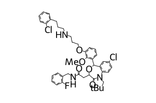 COc1c(OCCCNCCCc2ccccc2Cl)cccc1C1OC(CC(=O)NCc2ccccc2F)C(=O)N(CC(C)(C)C)c2ccc(Cl)cc21